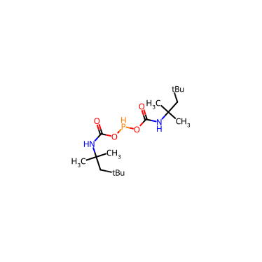 CC(C)(C)CC(C)(C)NC(=O)OPOC(=O)NC(C)(C)CC(C)(C)C